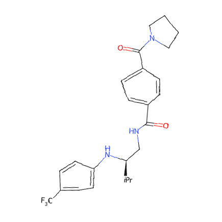 CC(C)[C@H](CNC(=O)c1ccc(C(=O)N2CCCC2)cc1)Nc1ccc(C(F)(F)F)cc1